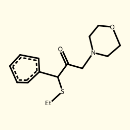 CCSC(C(=O)CN1CCOCC1)c1ccccc1